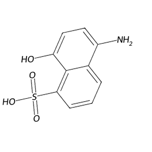 Nc1ccc(O)c2c(S(=O)(=O)O)cccc12